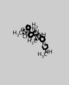 CNC1CCN(c2ccc(Nc3nc(N)c4c(-c5ccccc5S(=O)(=O)C(C)C)cccc4n3)c(OC)c2)CC1